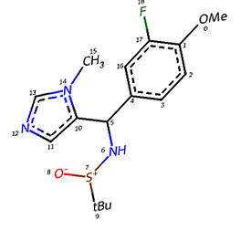 COc1ccc(C(N[S+]([O-])C(C)(C)C)c2cncn2C)cc1F